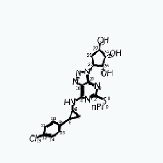 CCCSc1nc(NC2CC2c2ccc(Cl)cc2)c2nnn([C@H]3C[C@@H](O)[C@H](O)[C@@H]3O)c2n1